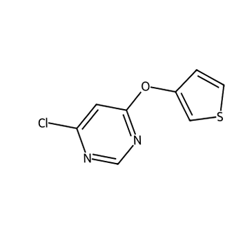 Clc1cc(Oc2ccsc2)ncn1